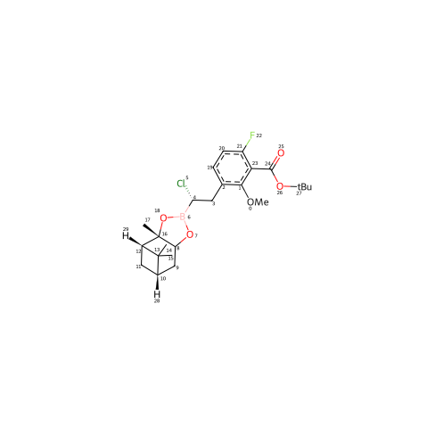 COc1c(C[C@@H](Cl)B2OC3C[C@@H]4C[C@@H](C4(C)C)[C@]3(C)O2)ccc(F)c1C(=O)OC(C)(C)C